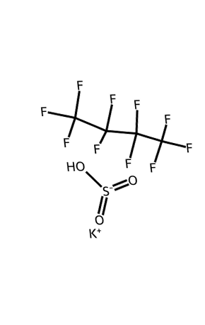 FC(F)(F)C(F)(F)C(F)(F)C(F)(F)F.O=[S-](=O)O.[K+]